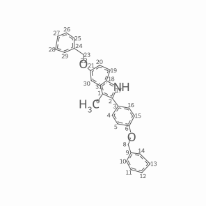 Cc1c(-c2ccc(OCc3ccccc3)cc2)[nH]c2ccc(OCc3ccccc3)cc12